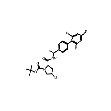 C[C@H](NC(=O)[C@@H]1C[C@@H](O)CN1C(=O)OC(C)(C)C)c1ccc(-c2c(F)cc(F)cc2F)cc1